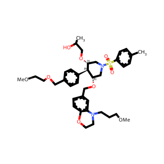 COCCCN1CCOc2ccc(CO[C@H]3CN(S(=O)(=O)c4ccc(C)cc4)C[C@@H](OCC(C)O)[C@@H]3c3ccc(COCCOC)cc3)cc21